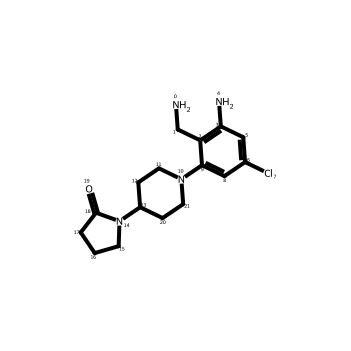 NCc1c(N)cc(Cl)cc1N1CCC(N2CCCC2=O)CC1